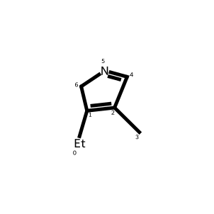 CCC1=C(C)C=NC1